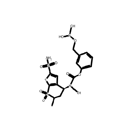 CCN(C(=O)Oc1cccc(CON(O)O)c1)[C@H]1CC(C)S(=O)(=O)c2sc(S(N)(=O)=O)cc21